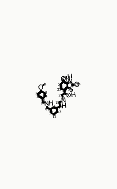 COc1ccc(CNCc2cccc(CCNCC(O)c3ccc(O)c4[nH]c(=O)sc34)c2)cc1